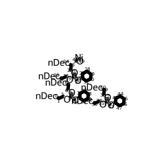 CCCCCCCCCCCCOP(OCCCCCCCCCCCC)OC1CCCCC1.CCCCCCCCCCCCOP(OCCCCCCCCCCCC)OC1CCCCC1.CCCCCCCCCCCCOP(OCCCCCCCCCCCC)OC1CCCCC1.[C]=O.[Ni]